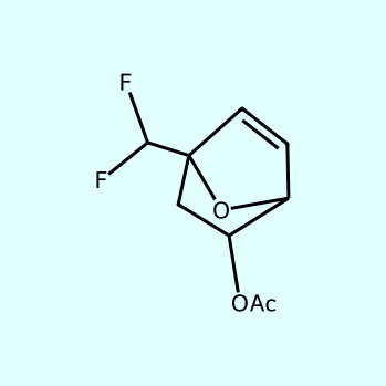 CC(=O)OC1CC2(C(F)F)C=CC1O2